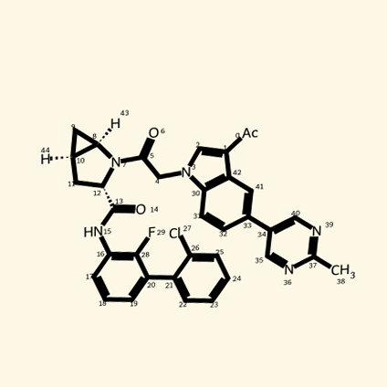 CC(=O)c1cn(CC(=O)N2[C@@H]3C[C@@H]3C[C@H]2C(=O)Nc2cccc(-c3ccccc3Cl)c2F)c2ccc(-c3cnc(C)nc3)cc12